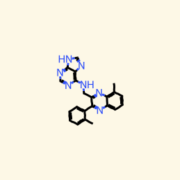 Cc1ccccc1-c1nc2cccc(C)c2nc1CNc1ncnc2[nH]cnc12